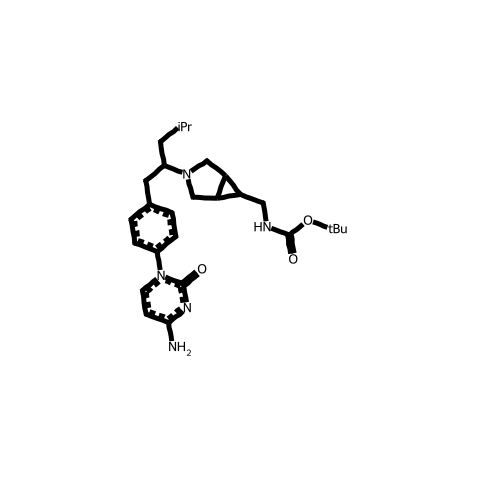 CC(C)CC(Cc1ccc(-n2ccc(N)nc2=O)cc1)N1CC2C(CNC(=O)OC(C)(C)C)C2C1